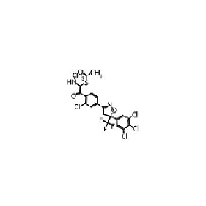 CNC(SC(C)=O)C(=O)c1ccc(C2=NOC(c3cc(Cl)c(Cl)c(Cl)c3)(C(F)(F)F)C2)cc1Cl